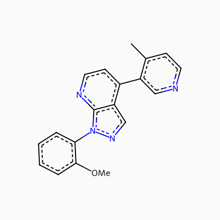 COc1ccccc1-n1ncc2c(-c3cnccc3C)ccnc21